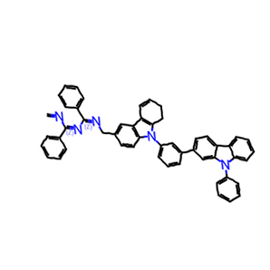 C=N/C(=N\C(=N/Cc1ccc2c(c1)c1c(n2-c2cccc(-c3ccc4c5ccccc5n(-c5ccccc5)c4c3)c2)CCC=C1)c1ccccc1)c1ccccc1